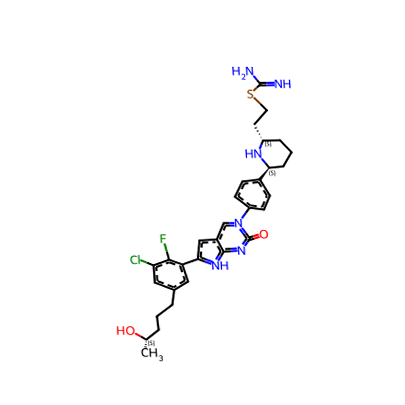 C[C@H](O)CCCc1cc(Cl)c(F)c(-c2cc3cn(-c4ccc([C@@H]5CCC[C@@H](CCSC(=N)N)N5)cc4)c(=O)nc3[nH]2)c1